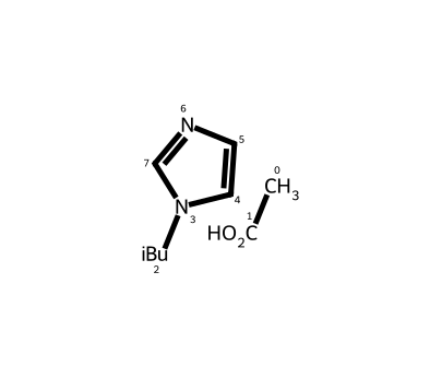 CC(=O)O.CCC(C)n1ccnc1